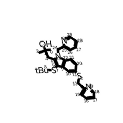 CC(C)(O)Cc1c(SC(C)(C)C)c2cc(SCc3ccccn3)ccc2n1Cc1ccccn1